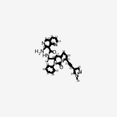 C[C@@H](NC(=O)c1c(N)ncc2cccnc12)c1cc2ccc(C#Cc3cnn(C)c3)n2c(=O)n1-c1ccccc1